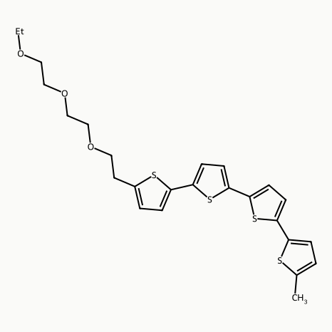 CCOCCOCCOCCc1ccc(-c2ccc(-c3ccc(-c4ccc(C)s4)s3)s2)s1